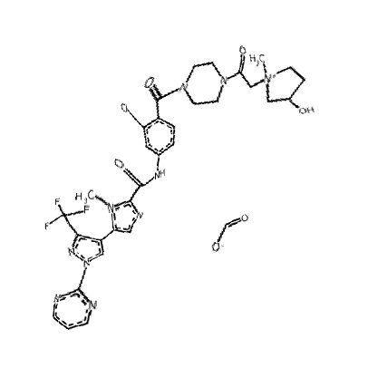 Cn1c(-c2cn(-c3ncccn3)nc2C(F)(F)F)cnc1C(=O)Nc1ccc(C(=O)N2CCN(C(=O)C[N+]3(C)CC[C@@H](O)C3)CC2)c(Cl)c1.O=C[O-]